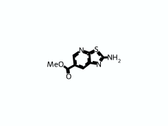 COC(=O)c1cnc2sc(N)nc2c1